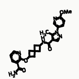 COc1ccc(-n2ncc(C(=O)NC3CC4(C3)CC(Oc3ncccc3C(N)=O)C4)c2C)cn1